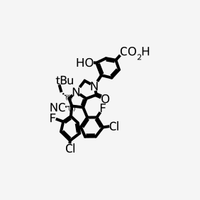 CC(C)(C)C[C@@H]1N2CN(c3ccc(C(=O)O)cc3O)C(=O)C2=C(c2cccc(Cl)c2F)[C@@]1(C#N)c1ccc(Cl)cc1F